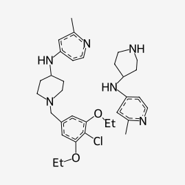 CCOc1cc(CN2CCC(Nc3ccnc(C)c3)CC2)cc(OCC)c1Cl.Cc1cc(NC2CCNCC2)ccn1